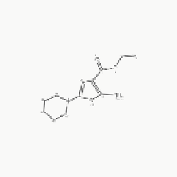 CCOC(=O)c1cc(C2CCCCC2)sc1N